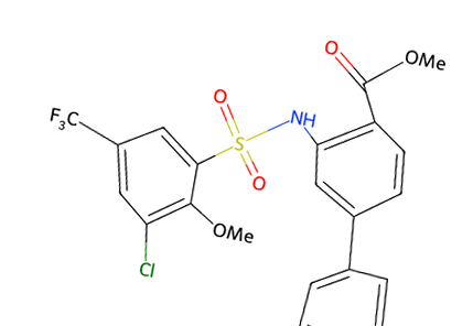 COC(=O)c1ccc(-c2ccccc2)cc1NS(=O)(=O)c1cc(C(F)(F)F)cc(Cl)c1OC